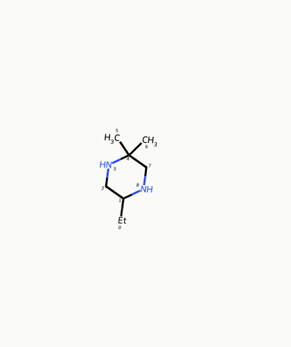 CCC1CNC(C)(C)CN1